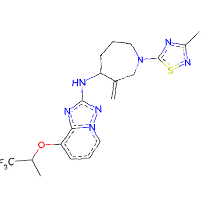 C=C1CN(c2nc(C)ns2)CCCC1Nc1nc2c(OC(C)C(F)(F)F)cccn2n1